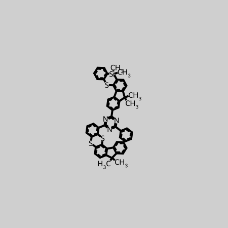 CC1(C)c2ccccc2-c2c1ccc1c2Sc2c(cccc2-c2nc(-c3ccccc3)nc(-c3ccc4c(c3)C(C)(C)c3ccc5c(c3-4)Sc3ccccc3[Si]5(C)C)n2)S1